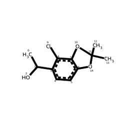 CC(O)c1ccc2c(c1Cl)OC(C)(C)O2